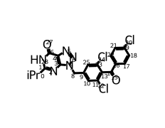 CC(C)c1nc2c(nnn2Cc2cc(Cl)c(C(=O)c3ccc(Cl)cc3)c(Cl)c2)c(=O)[nH]1